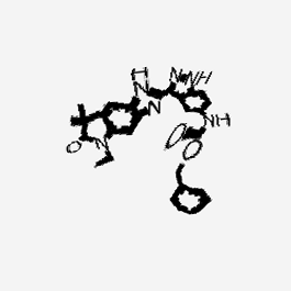 CCN1C(=O)C(C)(C)c2cc3[nH]c(-c4n[nH]c5ccc(NC(=O)OCc6ccccc6)cc45)nc3cc21